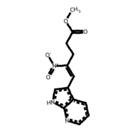 COC(=O)CC/C(=C/c1c[nH]c2ncccc12)[N+](=O)[O-]